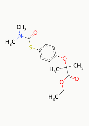 CCOC(=O)C(C)(C)Oc1ccc(SC(=O)N(C)C)cc1